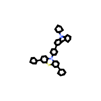 c1ccc(-c2ccc3c(c2)Sc2cc(-c4ccccc4)ccc2N3c2ccc(-c3ccc4c(c3)c3ccccc3n4-c3ccccc3)cc2)cc1